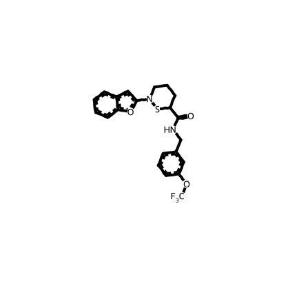 O=C(NCc1cccc(OC(F)(F)F)c1)C1CCCN(c2cc3ccccc3o2)S1